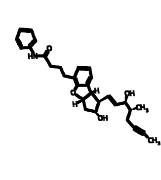 CC#CC[C@@H](C)[C@H](O)/C=C/[C@@H]1[C@H]2c3cccc(CCCC(=O)Nc4ccccc4)c3O[C@H]2C[C@H]1O